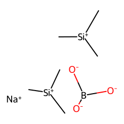 C[Si+](C)C.C[Si+](C)C.[Na+].[O-]B([O-])[O-]